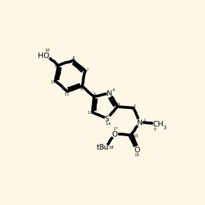 CN(Cc1nc(-c2ccc(O)cc2)cs1)C(=O)OC(C)(C)C